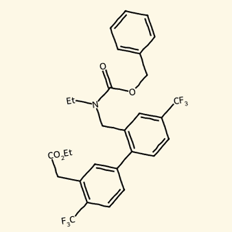 CCOC(=O)Cc1cc(-c2ccc(C(F)(F)F)cc2CN(CC)C(=O)OCc2ccccc2)ccc1C(F)(F)F